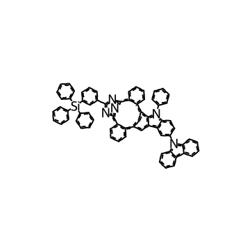 c1ccc(-n2c3ccc(-n4c5ccccc5c5ccccc54)cc3c3cc4cc(c5ccccc5c5nc(-c6cccc([Si](c7ccccc7)(c7ccccc7)c7ccccc7)c6)nc(n5)c5ccccc45)c32)cc1